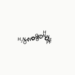 NC(=O)C1CN(c2ccc(S(=O)(=O)N3CCC(Nc4ccc(C(F)(F)F)cn4)CC3)cc2)C1